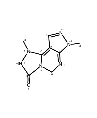 CN1NC(=O)N2CN=c3c(cnn3C)=C12